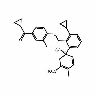 CC1=C(C(=O)O)CC(C(=O)O)(c2cccc(C3CC3)c2COc2ccc(C(=O)C3CC3)cc2C)C=C1